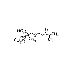 CCOC(=O)NC(C)(CSCCNC(C)=N)C(=O)O